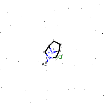 CC(=O)N1CC2CCC(C1)N2.Cl